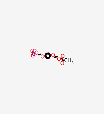 CC(=O)C(=O)OCCOc1ccc(OCCO[N+](=O)[O-])cc1